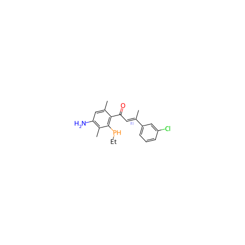 CCPc1c(C)c(N)cc(C)c1C(=O)/C=C(\C)c1cccc(Cl)c1